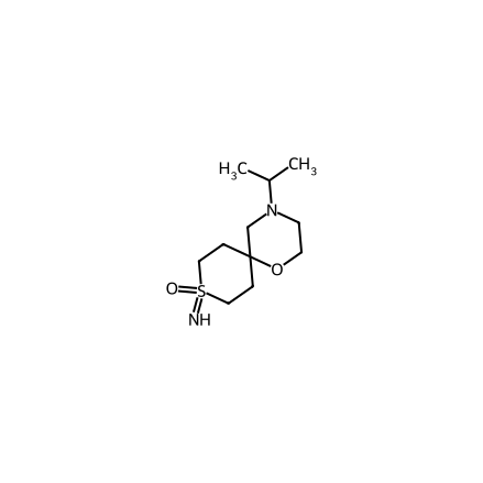 CC(C)N1CCOC2(CCS(=N)(=O)CC2)C1